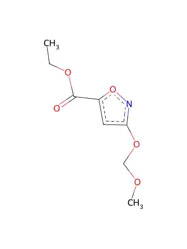 CCOC(=O)c1cc(OCOC)no1